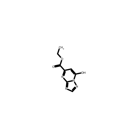 CCOC(=O)c1cc(O)n2ncnc2n1